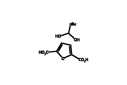 CCCCC(O)O.O=C(O)c1ccc(C(=O)O)o1